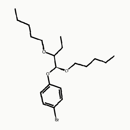 CCCCCOC(CC)[C@@H](OCCCCC)Oc1ccc(Br)cc1